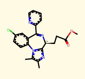 COC(=O)CC[C@@H]1N=C(c2ccccn2)c2cc(Cl)ccc2-n2c1nc(C)c2C